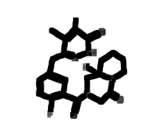 Cc1c(Cc2ccc(F)c(C(=O)N3CC(=O)N4CCCC[C@H]4C3)c2)n[nH]c(=O)c1C